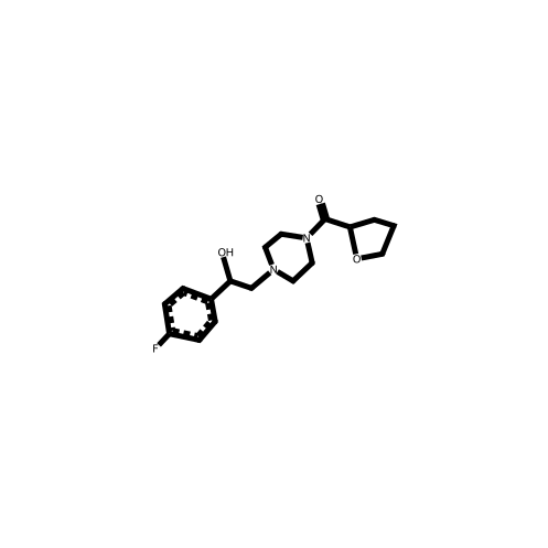 O=C(C1CCCO1)N1CCN(CC(O)c2ccc(F)cc2)CC1